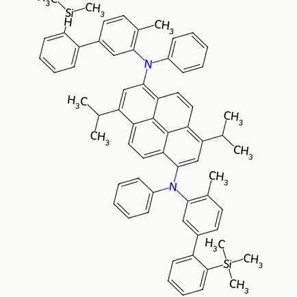 Cc1ccc(-c2ccccc2[SiH](C)C)cc1N(c1ccccc1)c1cc(C(C)C)c2ccc3c(N(c4ccccc4)c4cc(-c5ccccc5[Si](C)(C)C)ccc4C)cc(C(C)C)c4ccc1c2c43